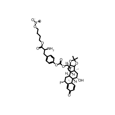 CC1(C)O[C@@H]2C[C@H]3[C@@H]4C[C@H](F)C5=CC(=O)C=C[C@]5(C)[C@H]4[C@@H](O)C[C@]3(C)[C@]2(C(=O)COC(=O)Oc2ccc(CC(N)C(=O)OCCCCO[N+](=O)[O-])cc2)O1